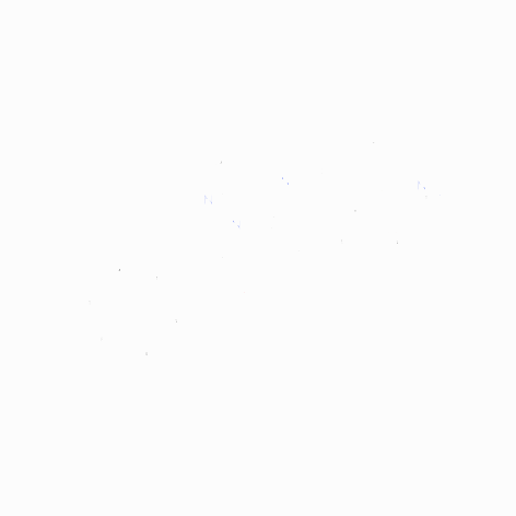 Cc1c(-c2ccc(Cl)cc2)c(=O)n(-c2ccc(S(N)(=O)=O)cn2)n1C